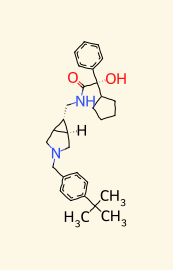 CC(C)(C)c1ccc(CN2CC3[C@H](CNC(=O)[C@@](O)(c4ccccc4)C4CCCC4)[C@H]3C2)cc1